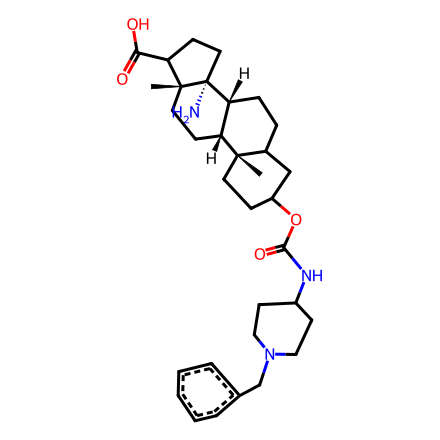 C[C@]12CCC(OC(=O)NC3CCN(Cc4ccccc4)CC3)CC1CC[C@@H]1[C@H]2CC[C@]2(C)C(C(=O)O)CC[C@@]12N